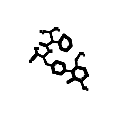 COc1cnn(C)c(=O)c1-c1ccc(C[C@H](NC(=O)N(c2ccccc2)C(C)C)C(=O)O)cc1